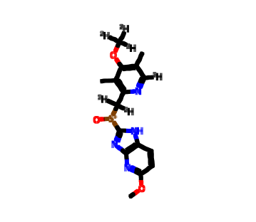 [2H]c1nc(C([2H])([2H])[S+]([O-])c2nc3nc(OC)ccc3[nH]2)c(C)c(OC([2H])([2H])[2H])c1C